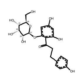 O=C(CCc1ccc(O)cc1)c1c(O)cc(O)cc1O[C@@H]1O[C@H](CO)[C@@H](O)[C@@H](O)[C@H]1O